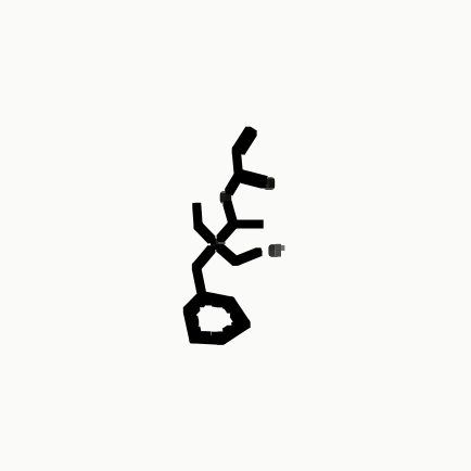 C=CC(=O)OC(C)[N+](CC)(CC)Cc1ccccc1.[Cl-]